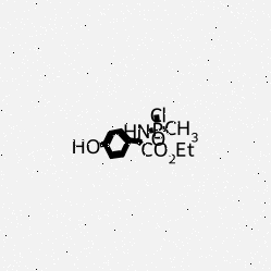 CCOC(=O)C(NP(C)(=O)Cl)c1ccc(O)cc1